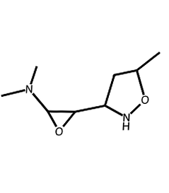 CC1CC(C2OC2N(C)C)NO1